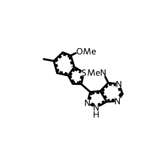 CNc1ncnc2[nH]nc(-c3cc4cc(C)cc(OC)c4s3)c12